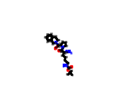 CC(C)(C)OC(=O)NCCCC[C@H](N)C(=O)N1CCC[C@H]1C(=O)N1CCc2ccccc2C1